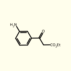 CCOC(=O)CC(=O)c1cccc(N)c1